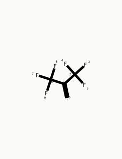 [CH]=C(C(F)(F)F)C(F)(F)F